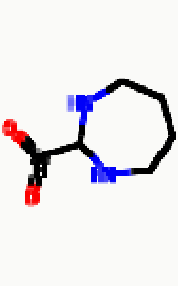 O=[SeH](=O)C1NCCCCN1